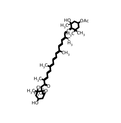 CC(=O)OC1CC(C)(C)C(=C=C/C(C)=C/C=C/C(C)=C/C=C/C=C(C)/C=C/C=C(\C)C(=O)CC23OC2(C)CC(O)CC3(C)C)[C@](C)(O)C1